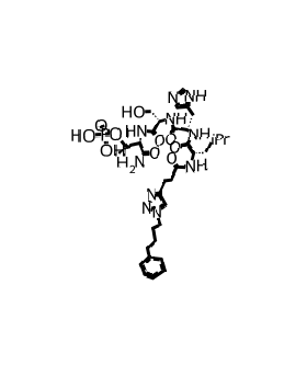 CC(C)C[C@H](NC(=O)CCc1cn(CCCCc2ccccc2)nn1)C(=O)N[C@@H](Cc1cnc[nH]1)C(=O)N[C@@H](CO)C(=O)N[C@H](C(N)=O)[C@@H](C)OP(=O)(O)O